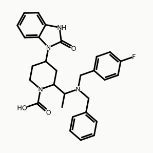 CC(C1CC(n2c(=O)[nH]c3ccccc32)CCN1C(=O)O)N(Cc1ccccc1)Cc1ccc(F)cc1